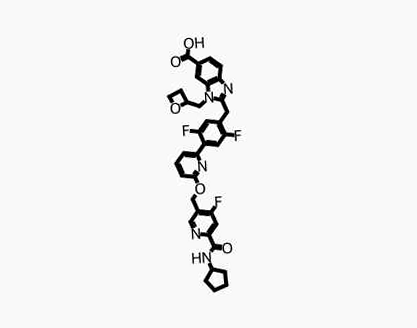 O=C(O)c1ccc2nc(Cc3cc(F)c(-c4cccc(OCc5cnc(C(=O)NC6CCCC6)cc5F)n4)cc3F)n(CC3CCO3)c2c1